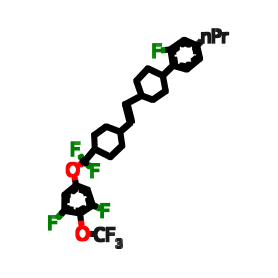 CCCc1ccc(C2CCC(/C=C/C3CCC(C(F)(F)Oc4cc(F)c(OC(F)(F)F)c(F)c4)CC3)CC2)c(F)c1